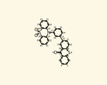 O=c1c2ccccc2sc2ccc(-c3cccc(N4c5ccccc5S(=O)(=O)c5ccccc54)c3)cc12